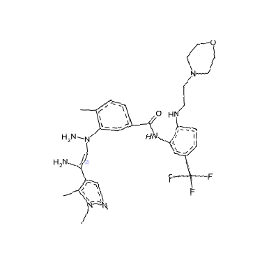 Cc1ccc(C(=O)Nc2cc(C(F)(F)F)ccc2NCCN2CCOCC2)cc1N(N)/C=C(\N)c1cnn(C)c1C